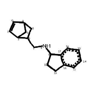 C1=CC2CC1CC2CNC1CCc2ccccc21